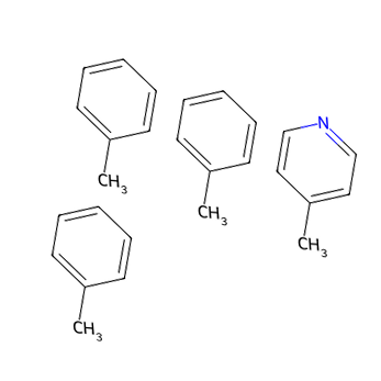 Cc1ccccc1.Cc1ccccc1.Cc1ccccc1.Cc1ccncc1